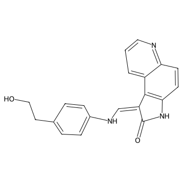 O=C1Nc2ccc3ncccc3c2C1=CNc1ccc(CCO)cc1